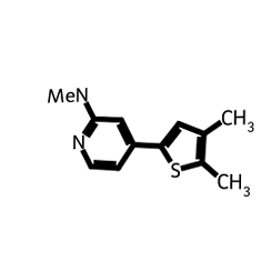 CNc1cc(-c2cc(C)c(C)s2)ccn1